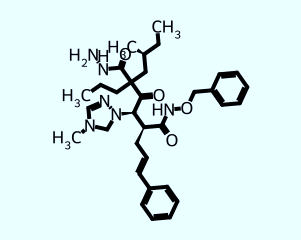 CCCC(C[C@@H](C)CC)(C(=O)NN)C(=O)[C@@H]([C@H](C/C=C/c1ccccc1)C(=O)NOCc1ccccc1)N1CN(C)C=N1